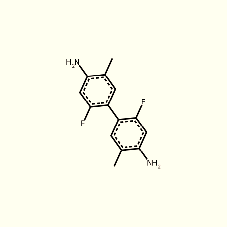 Cc1cc(-c2cc(C)c(N)cc2F)c(F)cc1N